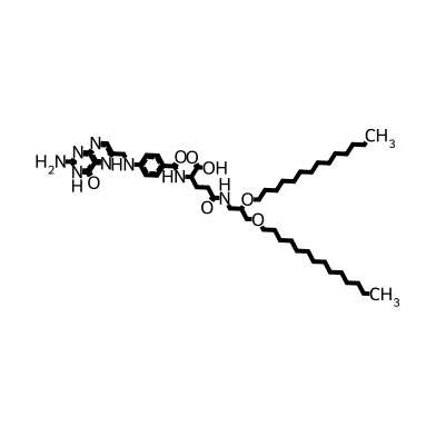 CCCCCCCCCCCCCCOCC(CNC(=O)CCC(NC(=O)c1ccc(NCc2cnc3nc(N)[nH]c(=O)c3n2)cc1)C(=O)O)OCCCCCCCCCCCCCC